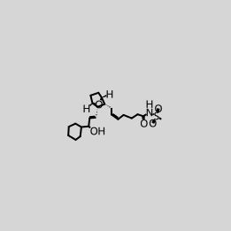 CS(=O)(=O)NC(=O)CCC/C=C\C[C@@H]1[C@H](/C=C/C(O)C2CCCCC2)[C@@H]2CC[C@H]1O2